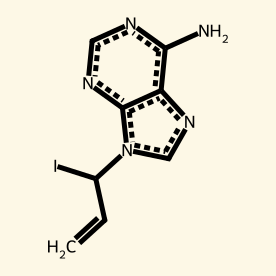 C=CC(I)n1cnc2c(N)ncnc21